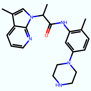 Cc1ccc(N2CCNCC2)cc1NC(=O)C(C)n1cc(C)c2cccnc21